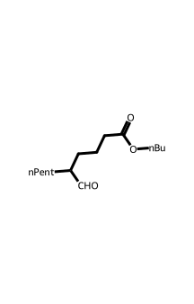 CCCCCC(C=O)CCCC(=O)OCCCC